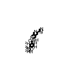 [2H]c1c([2H])c(C(=O)Nc2cc3cc(-c4cncn4C)ncc3cn2)c([2H])c([2H])c1OC([2H])([2H])[2H]